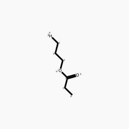 [2H]CCCOC(=O)CC